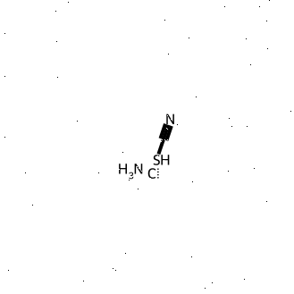 N.N#CS.[C]